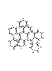 c1ccc(-c2cccc(-c3ccccc3)c2N2c3ccccc3B3c4c(cccc42)-c2cccc4c5ccccc5n3c24)cc1